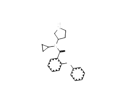 O=C(c1ccccc1Oc1ccccc1)N(C1CC1)C1CCNC1